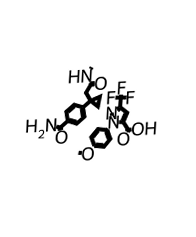 CNC(=O)CC1(c2ccc(C(N)=O)cc2)CC1.COc1ccc(-n2nc(C(F)(F)F)cc2C(=O)O)cc1